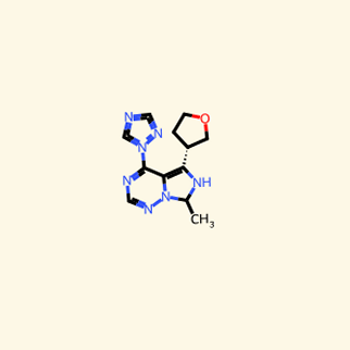 CC1NC([C@@H]2CCOC2)=C2C(n3cncn3)=NC=NN21